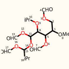 COC(COC=O)C(OC=O)C(OC(C)C)C(OC=O)OC(OC=O)C(C)C